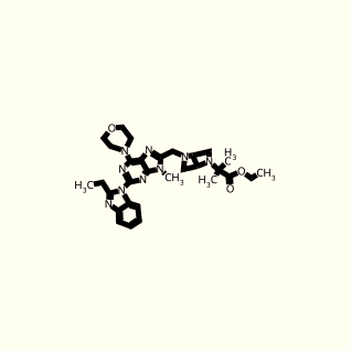 CCOC(=O)C(C)(C)N1CC2C1CN2Cc1nc2c(N3CCOCC3)nc(-n3c(CC)nc4ccccc43)nc2n1C